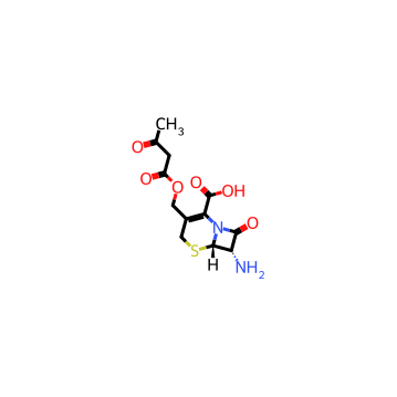 CC(=O)CC(=O)OCC1=C(C(=O)O)N2C(=O)[C@H](N)[C@@H]2SC1